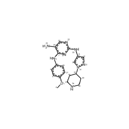 COc1ccc(Nc2nc(Nc3cnn(C4CCNCC4)c3)ncc2N)cc1